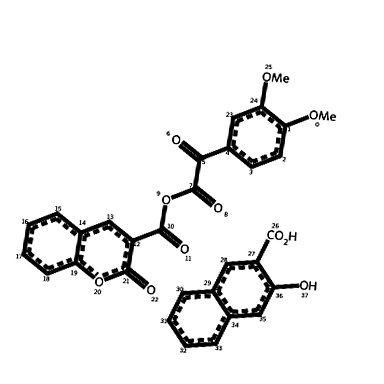 COc1ccc(C(=O)C(=O)OC(=O)c2cc3ccccc3oc2=O)cc1OC.O=C(O)c1cc2ccccc2cc1O